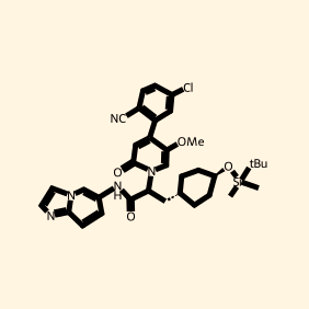 COc1cn(C(C[C@H]2CC[C@H](O[Si](C)(C)C(C)(C)C)CC2)C(=O)Nc2ccc3nccn3c2)c(=O)cc1-c1cc(Cl)ccc1C#N